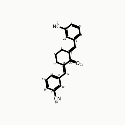 N#Cc1cccc(C=C2CCCC(=Cc3cccc(C#N)c3)C2=O)c1